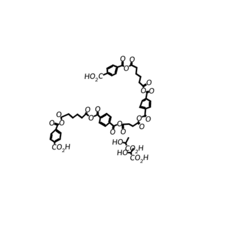 CC(O)C(=O)O.CC(O)C(=O)O.O=C(CCCCC(=O)OC(=O)c1ccc(C(=O)OC(=O)CCC(=O)OC(=O)c2ccc(C(=O)OC(=O)CCCCC(=O)OC(=O)c3ccc(C(=O)O)cc3)cc2)cc1)OC(=O)c1ccc(C(=O)O)cc1